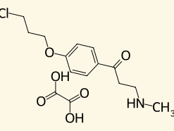 CNCCC(=O)c1ccc(OCCCCl)cc1.O=C(O)C(=O)O